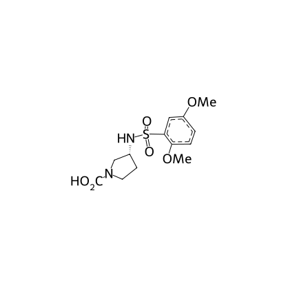 COc1ccc(OC)c(S(=O)(=O)N[C@@H]2CCN(C(=O)O)C2)c1